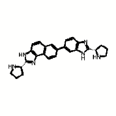 c1cc2c(ccc3[nH]c([C@@H]4CCCN4)nc32)cc1-c1ccc2nc([C@@H]3CCCN3)[nH]c2c1